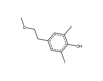 COCCc1cc(I)c(O)c(I)c1